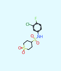 O=S1(=O)CCC(S(=O)(=O)Nc2ccc(F)c(Cl)c2)CC1